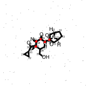 CN1CCN(S(=O)(=O)N2[C@@H]3CC[C@H]2C[C@@H](NC(=O)c2cc(C4CC4)on2)C3)CC1CO